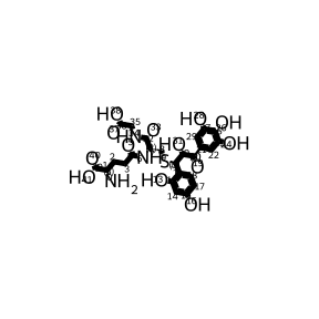 N[C@@H](CCC(=O)N[C@@H](CS[C@H]1c2c(O)cc(O)cc2O[C@H](c2cc(O)c(O)c(O)c2)C1O)C(=O)NCC(=O)O)C(=O)O